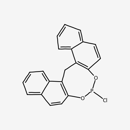 ClP1Oc2ccc3ccccc3c2Cc2c(ccc3ccccc23)O1